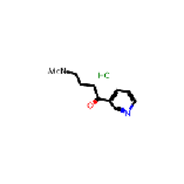 CNCCCC(=O)c1cccnc1.Cl